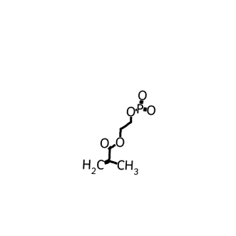 C=C(C)C(=O)OCCOP(=O)=O